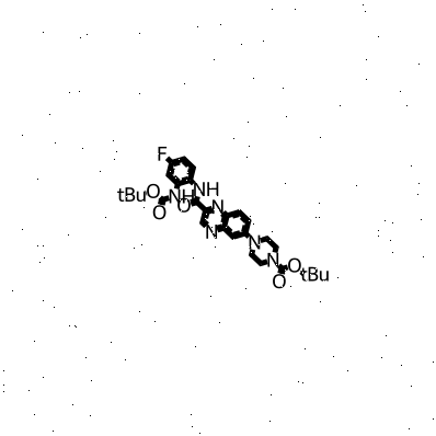 CC(C)(C)OC(=O)Nc1cc(F)ccc1NC(=O)c1cnc2cc(N3CCN(C(=O)OC(C)(C)C)CC3)ccc2n1